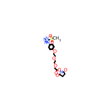 CS(=O)(=O)c1nnnn1-c1ccc(OCCOCCOCC(=O)ON2C(=O)CCC2=O)cc1